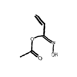 C=CC(=NO)OC(C)=O